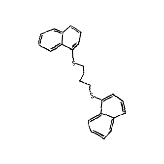 c1ccc2c(SCCCSc3cccc4ccccc34)cccc2c1